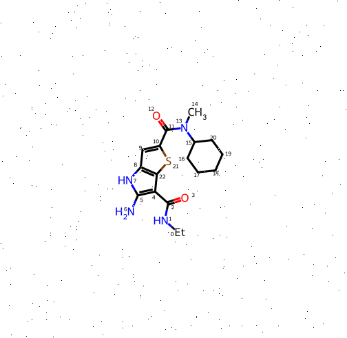 CCNC(=O)c1c(N)[nH]c2cc(C(=O)N(C)C3CCCCC3)sc12